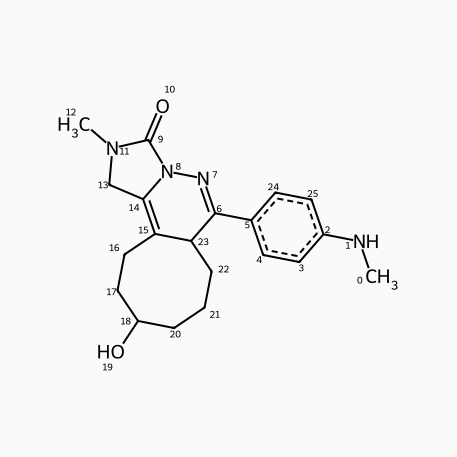 CNc1ccc(C2=NN3C(=O)N(C)CC3=C3CCC(O)CCCC23)cc1